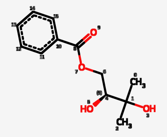 CC(C)(O)[C@@H](O)COC(=O)c1ccccc1